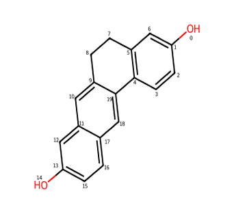 Oc1ccc2c(c1)CCc1cc3cc(O)ccc3cc1-2